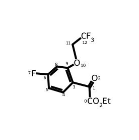 CCOC(=O)C(=O)c1ccc(F)cc1OCC(F)(F)F